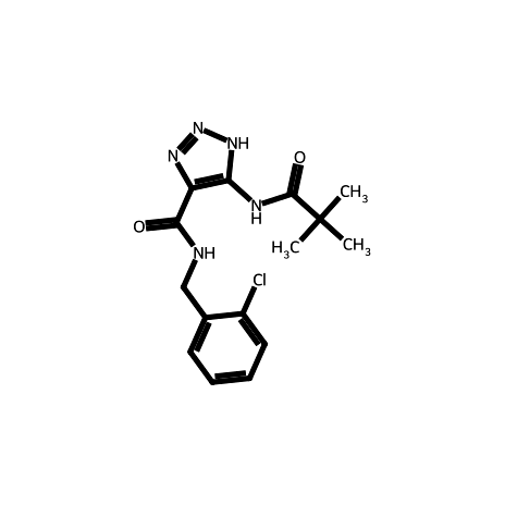 CC(C)(C)C(=O)Nc1[nH]nnc1C(=O)NCc1ccccc1Cl